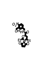 CCC(=O)N(C(CC)CCC(=O)NCc1ccc([N+](=O)[O-])c(CO)c1)N1C(=O)C=CC1=O